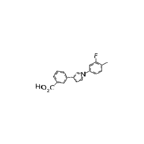 Cc1ccc(-n2ccc(-c3cccc(C(=O)O)c3)c2)cc1F